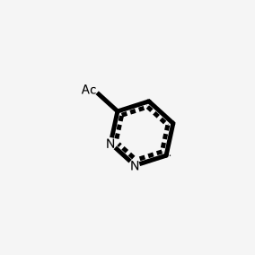 CC(=O)c1cc[c]nn1